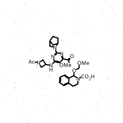 COC(=O)c1cc(NC2CN(C(C)=O)C2)nc(N2CC3CCC2C3)n1.COCOC1c2ccccc2CCN1C(=O)O